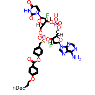 CCCCCCCCCCCCOc1ccc(C(=O)Oc2ccc(CSP3(=O)OC[C@H]4O[C@@H](n5ccc(=O)[nH]c5=O)[C@H](F)[C@@H]4OP(=O)(O)OC[C@H]4O[C@@H](n5cnc6c(N)ncnc65)[C@H](F)[C@@H]4O3)cc2)cc1